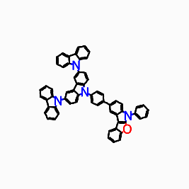 c1ccc(-n2c3ccc(-c4ccc(-n5c6ccc(-n7c8ccccc8c8ccccc87)cc6c6cc(-n7c8ccccc8c8ccccc87)ccc65)cc4)cc3c3c4ccccc4oc32)cc1